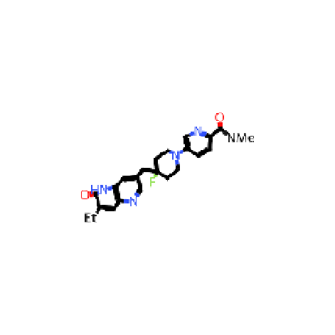 CCc1cc2ncc(CC3(F)CCN(c4ccc(C(=O)NC)nc4)CC3)cc2[nH]c1=O